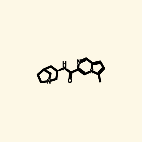 Cc1ccc2cnc(C(=O)N[C@@H]3CC4CCN(C4)C3)cn12